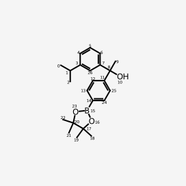 CC(C)c1cccc(C(C)(O)c2ccc(B3OC(C)(C)C(C)(C)O3)cc2)c1